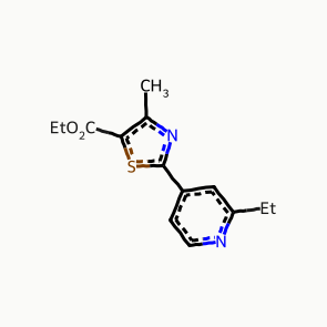 CCOC(=O)c1sc(-c2ccnc(CC)c2)nc1C